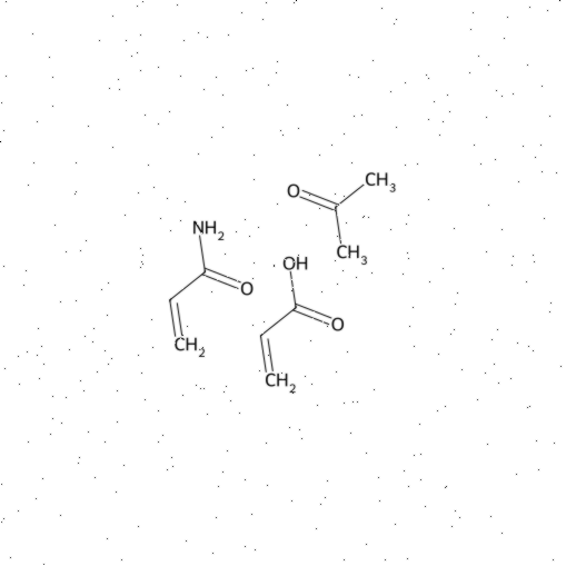 C=CC(=O)O.C=CC(N)=O.CC(C)=O